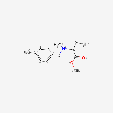 CC(C)CC(C(=O)OC(C)(C)C)N(C)Cc1ccc(C(C)(C)C)cc1